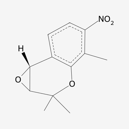 Cc1c([N+](=O)[O-])ccc2c1OC(C)(C)C1O[C@H]21